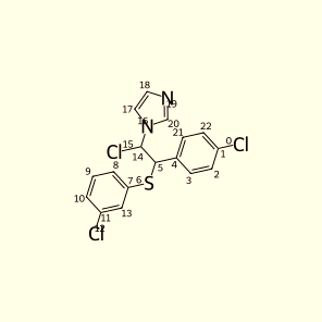 Clc1ccc(C(Sc2cccc(Cl)c2)C(Cl)n2ccnc2)cc1